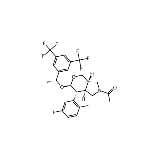 CC(=O)N1C[C@H]2CO[C@H](O[C@H](C)c3cc(C(F)(F)F)cc(C(F)(F)F)c3)[C@@H](c3cc(I)ccc3C)[C@@H]2C1